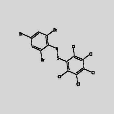 Clc1c(Cl)c(Cl)c(SSc2c(Br)cc(Br)cc2Br)c(Cl)c1Cl